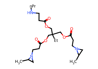 CCCNCCC(=O)OCC(CC)(COC(=O)CCN1CC1C)COC(=O)CCN1CC1C